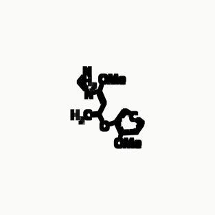 C=C(/C=C(\N=C/N)OC)Oc1ccccc1OC